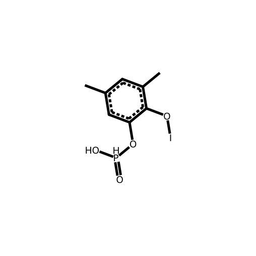 Cc1cc(C)c(OI)c(O[PH](=O)O)c1